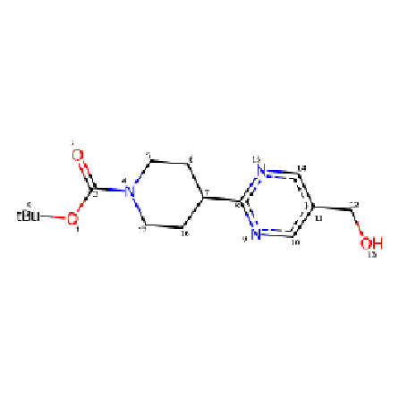 CC(C)(C)OC(=O)N1CCC(c2ncc(CO)cn2)CC1